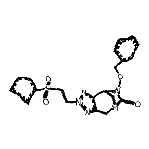 O=C1N2Cc3nn(CCS(=O)(=O)c4ccccc4)nc3C(C2)N1OCc1ccccc1